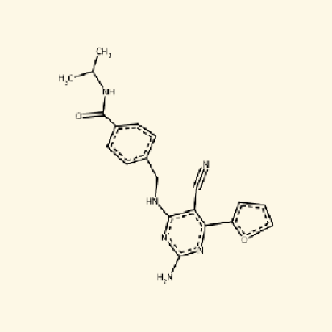 CC(C)NC(=O)c1ccc(CNc2nc(N)nc(-c3ccco3)c2C#N)cc1